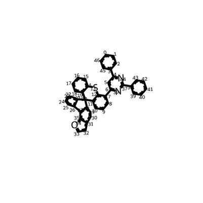 c1ccc(-c2cc(-c3cccc4c3Sc3ccccc3C43c4ccccc4-c4c3ccc3ccoc43)nc(-c3ccccc3)n2)cc1